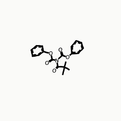 CC(C)(C)C(=O)N(C(=O)Oc1ccccc1)C(=O)Oc1ccccc1